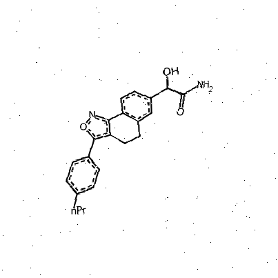 CCCc1ccc(-c2onc3c2CCc2cc(C(O)C(N)=O)ccc2-3)cc1